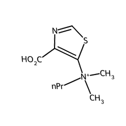 CCC[N+](C)(C)c1scnc1C(=O)O